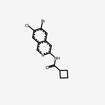 O=C(Nc1cc2cc(Br)c(Cl)cc2cn1)C1CCC1